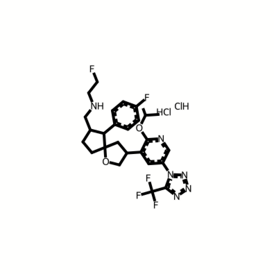 CC(C)Oc1ncc(-n2nnnc2C(F)(F)F)cc1C1COC2(CCC(CNCCF)C2c2ccc(F)cc2)C1.Cl.Cl